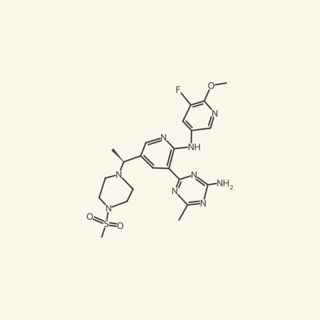 COc1ncc(Nc2ncc([C@H](C)N3CCN(S(C)(=O)=O)CC3)cc2-c2nc(C)nc(N)n2)cc1F